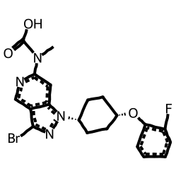 CN(C(=O)O)c1cc2c(cn1)c(Br)nn2[C@H]1CC[C@@H](Oc2ccccc2F)CC1